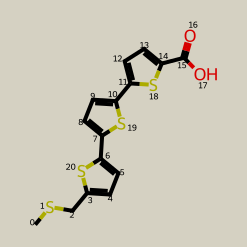 CSCc1ccc(-c2ccc(-c3ccc(C(=O)O)s3)s2)s1